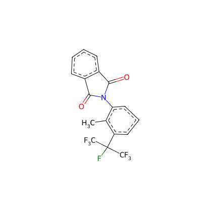 Cc1c(N2C(=O)c3ccccc3C2=O)cccc1C(F)(C(F)(F)F)C(F)(F)F